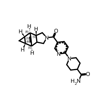 NC(=O)C1CCN(c2ccc(C(=O)N3CC4[C@@H](C3)[C@H]3C=C[C@@H]4[C@@H]4C[C@H]34)cn2)CC1